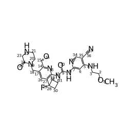 COCCNc1cc(NC(=O)N2c3nc(C=O)c(CN4CCNCC4=O)cc3C3(F)CC2C3)ncc1C#N